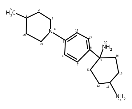 CC1CCN(c2ccc(C3(N)CCC(N)CC3)cc2)CC1